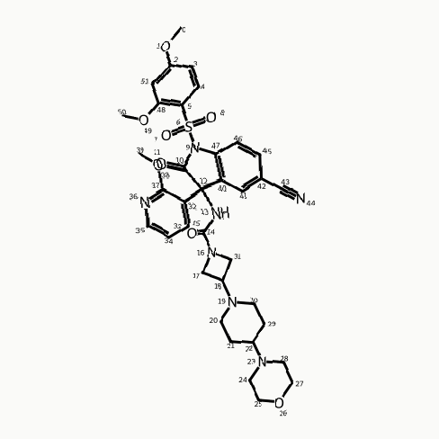 COc1ccc(S(=O)(=O)N2C(=O)C(NC(=O)N3CC(N4CCC(N5CCOCC5)CC4)C3)(c3cccnc3OC)c3cc(C#N)ccc32)c(OC)c1